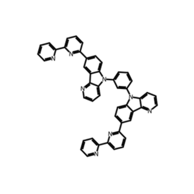 c1ccc(-c2cccc(-c3ccc4c(c3)c3ncccc3n4-c3cccc(-n4c5ccc(-c6cccc(-c7ccccn7)n6)cc5c5ncccc54)c3)n2)nc1